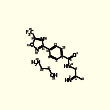 CC(=N)CNC(=O)c1ccc(-c2noc(C(F)(F)F)n2)cc1.NCCO